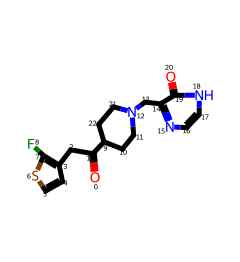 O=C(Cc1ccsc1F)C1CCN(Cc2ncc[nH]c2=O)CC1